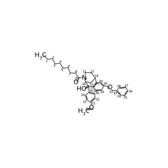 CCCCCCCCCC(=O)N1CCC2CC1C(O)(c1ccc(OC)cc1)c1ccc(OCc3ccccc3)cc12